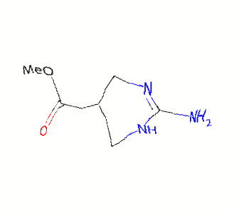 COC(=O)C1CN=C(N)NC1